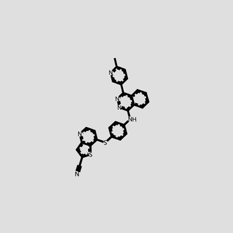 Cc1ccc(-c2nnc(Nc3ccc(Sc4ccnc5cc(C#N)sc45)cc3)c3ccccc23)cn1